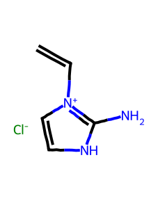 C=C[n+]1cc[nH]c1N.[Cl-]